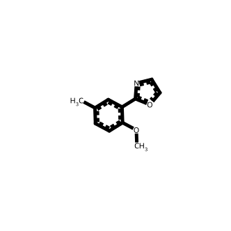 COc1ccc(C)cc1-c1ncco1